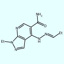 CCC=NNc1c(C(N)=O)cnc2c1cnn2CC